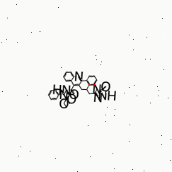 COC(=O)N(NC(=O)c1c(CC2CCn3c(n[nH]c3=O)C2)c(-c2ccccc2)nc2ccccc12)c1ccccc1